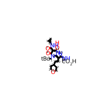 CC(C)(C)Cn1c(=O)c(C(=O)NC2CC2)c(O)n2nc(NC(=O)O)c(C=CC3CCOCC3)c12